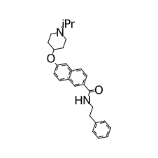 CC(C)N1CCC(Oc2ccc3cc(C(=O)NCCc4ccccc4)ccc3c2)CC1